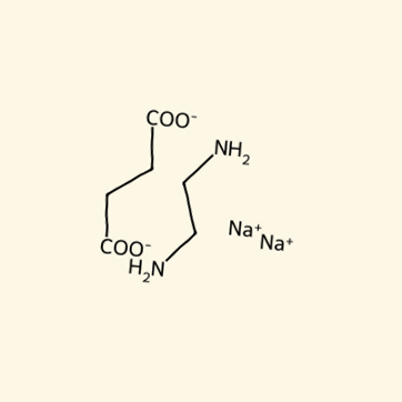 NCCN.O=C([O-])CCC(=O)[O-].[Na+].[Na+]